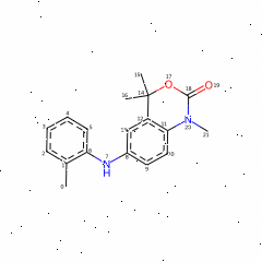 Cc1ccccc1Nc1ccc2c(c1)C(C)(C)OC(=O)N2C